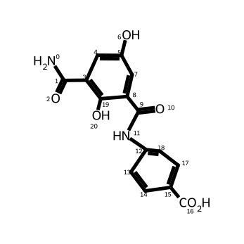 NC(=O)c1cc(O)cc(C(=O)Nc2ccc(C(=O)O)cc2)c1O